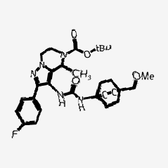 COCC12CCC(NC(=O)Nc3c(-c4ccc(F)cc4)nn4c3C(C)N(C(=O)OC(C)(C)C)CC4)(CC1)CC2